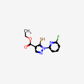 CCOC(=O)c1cnn(-c2cccc(F)n2)c1S